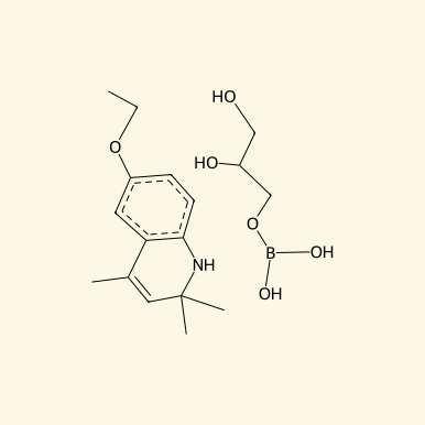 CCOc1ccc2c(c1)C(C)=CC(C)(C)N2.OCC(O)COB(O)O